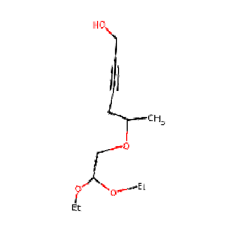 CCOC(COC(C)CC#CCO)OCC